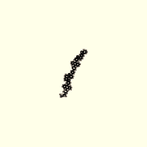 C=C(/C=C\C(=C)c1c2ccccc2c(-c2ccc3oc4c(ccc5ccc6oc7c(-c8ccc(C9=CC=C(c%10c%11ccccc%11c(-c%11ccc%12oc%13c%14cc%15oc%16ccccc%16c%15cc%14ccc%13c%12c%11)c%11ccccc%10%11)CC9)cc8)cccc7c6c54)c3c2)c2ccccc12)/C(C)=C/C=C\C